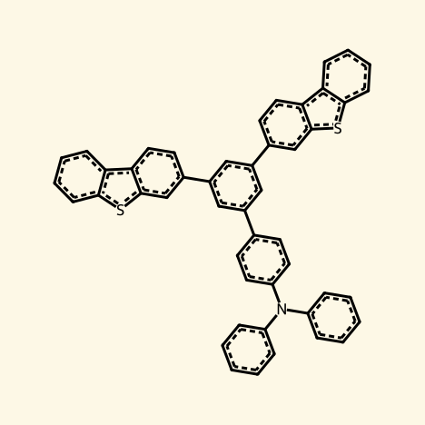 c1ccc(N(c2ccccc2)c2ccc(-c3cc(-c4ccc5c(c4)sc4ccccc45)cc(-c4ccc5c(c4)sc4ccccc45)c3)cc2)cc1